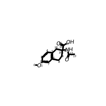 COc1ccc2c(c1)CCC(NC(C)=O)(C(=O)O)C2